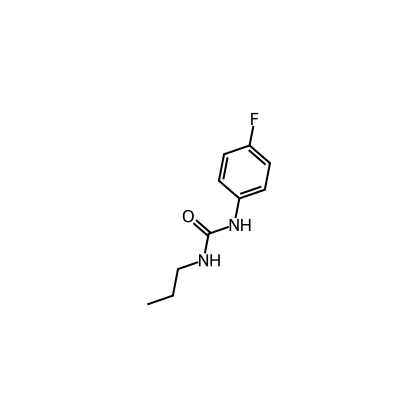 CCCNC(=O)Nc1ccc(F)cc1